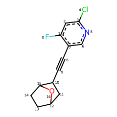 Fc1cc(Cl)ncc1C#CC1CC2CCC1O2